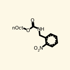 CCCCCCCCOC(=O)NCc1ccccc1[N+](=O)[O-]